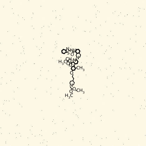 CCOC(CN1CCC(CCCOc2ccc(-c3ccc(N4CCc5cccc(C(=O)Nc6nc7ccccc7s6)c5C4)nc3C(=O)OC(C)(C)C)c(C)c2)CC1)OCC